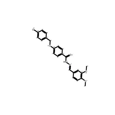 COc1ccc(/C=N/NC(=O)c2ccc(OCc3ccc(Cl)cc3)cc2)cc1OC